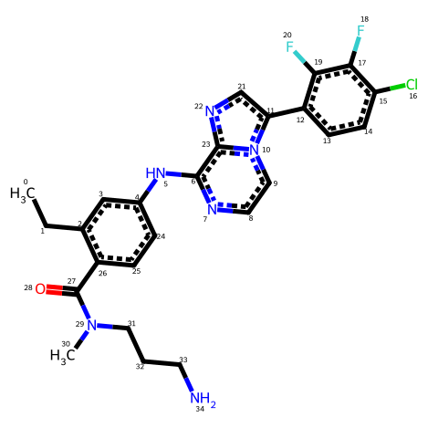 CCc1cc(Nc2nccn3c(-c4ccc(Cl)c(F)c4F)cnc23)ccc1C(=O)N(C)CCCN